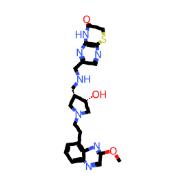 COc1cnc2cccc(CCN3C[C@H](CNCc4cnc5c(n4)NC(=O)CS5)[C@H](O)C3)c2n1